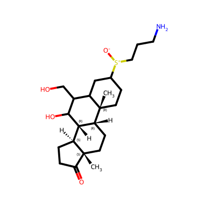 C[C@]12CCC([S+]([O-])CCCN)CC1C(CO)C(O)[C@@H]1[C@H]2CC[C@]2(C)C(=O)CC[C@@H]12